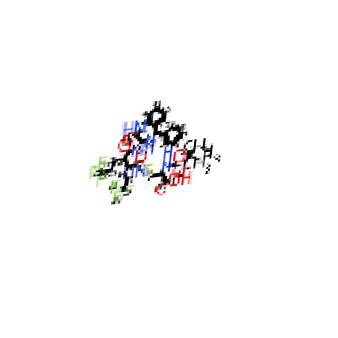 CC(C)(C)OC(=O)NC(CSNC(=O)[C@@H](CCC(F)(F)F)[C@@H](CCC(F)(F)F)C(=O)N[C@H]1N=C(c2ccccc2)c2ccccc2NC1=O)C(=O)O